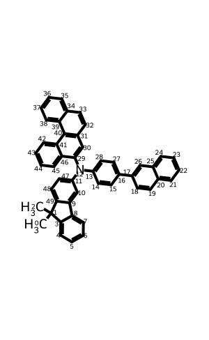 CC1(C)c2ccccc2-c2cc(N(c3ccc(-c4ccc5ccccc5c4)cc3)c3cc4ccc5ccccc5c4c4ccccc34)ccc21